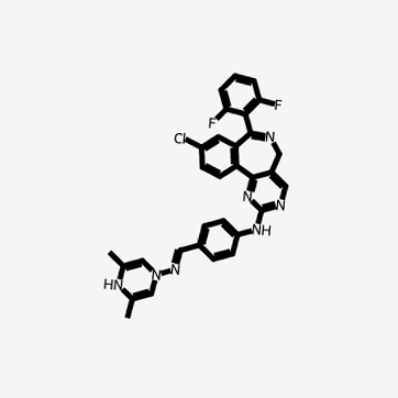 CC1=CN(/N=C/c2ccc(Nc3ncc4c(n3)-c3ccc(Cl)cc3C(c3c(F)cccc3F)=NC4)cc2)C=C(C)N1